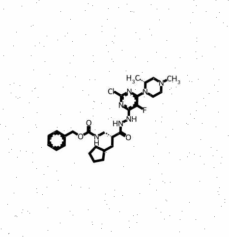 C[C@@H]1CN(C)CCN1c1nc(Cl)nc(NNC(=O)[C@@H](CNC(=O)OCc2ccccc2)CC2CCCC2)c1F